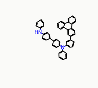 c1ccc(Nc2ccc(-c3ccc(N(c4ccccc4)c4cccc(-c5ccc6c7ccccc7c7ccccc7c6c5)c4)cc3)cc2)cc1